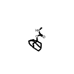 CNC(=O)OC12CC3CC(CC(C3)C1)C2